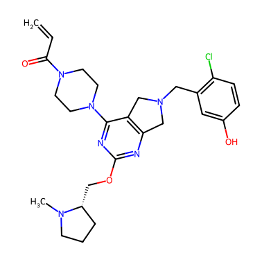 C=CC(=O)N1CCN(c2nc(OC[C@@H]3CCCN3C)nc3c2CN(Cc2cc(O)ccc2Cl)C3)CC1